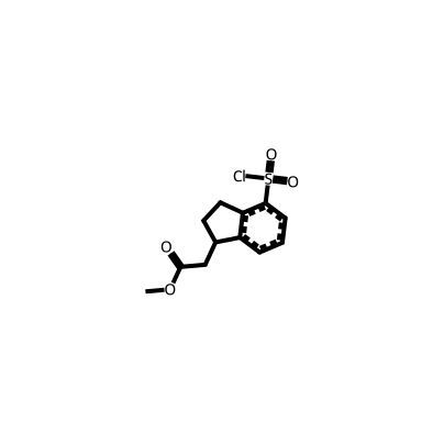 COC(=O)CC1CCc2c1cccc2S(=O)(=O)Cl